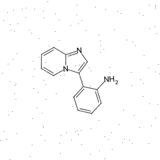 Nc1ccccc1-c1cnc2ccccn12